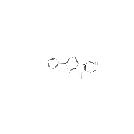 O=[N+]([O-])c1ccc(-c2ccc3c(n2)[nH]c2ccncc23)cn1